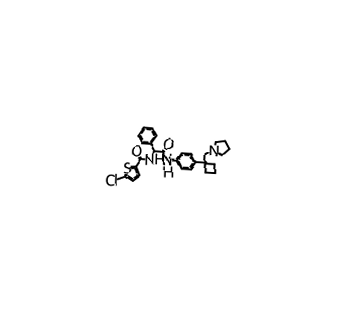 O=C(NC(C(=O)Nc1ccc(C2(CN3CCCC3)CCC2)cc1)c1ccccc1)c1ccc(Cl)s1